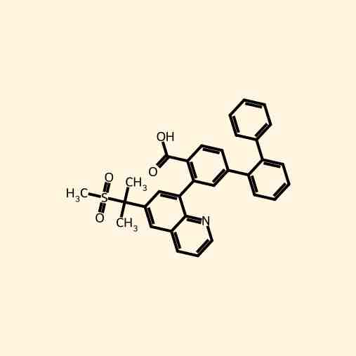 CC(C)(c1cc(-c2cc(-c3ccccc3-c3ccccc3)ccc2C(=O)O)c2ncccc2c1)S(C)(=O)=O